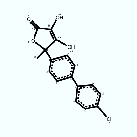 CC1(c2ccc(-c3ccc(Cl)cc3)cc2)OC(=O)C(O)=C1O